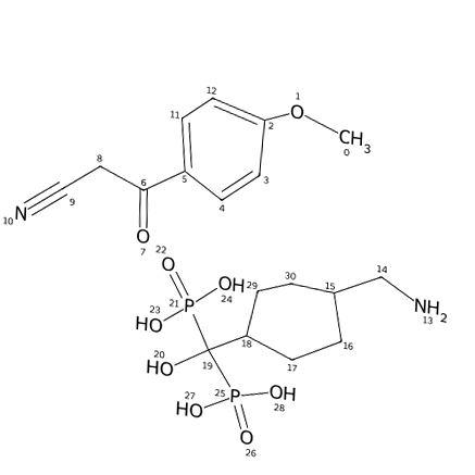 COc1ccc(C(=O)CC#N)cc1.NCC1CCC(C(O)(P(=O)(O)O)P(=O)(O)O)CC1